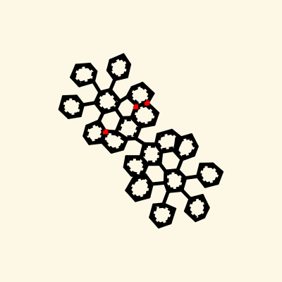 c1ccc(-c2c(-c3ccccc3)c(-c3ccccc3)c(-c3c4ccccc4c(-c4c5ccccc5c(-c5c(-c6ccccc6)c(-c6ccccc6)c(-c6ccccc6)c(-c6ccccc6)c5-c5ccccc5)c5ccccc45)c4ccccc34)c(-c3ccccc3)c2-c2ccccc2)cc1